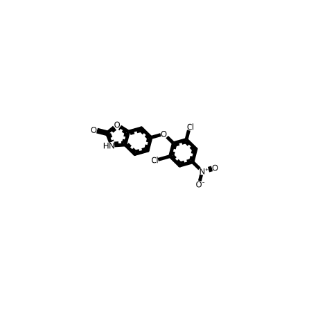 O=c1[nH]c2ccc(Oc3c(Cl)cc([N+](=O)[O-])cc3Cl)cc2o1